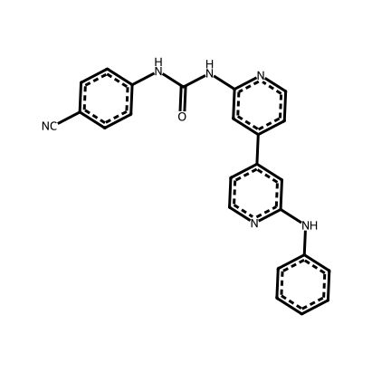 N#Cc1ccc(NC(=O)Nc2cc(-c3ccnc(Nc4ccccc4)c3)ccn2)cc1